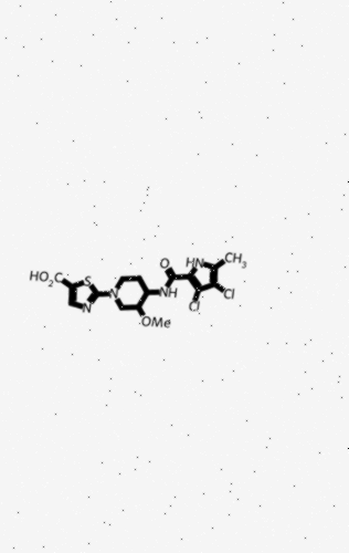 COC1CN(c2ncc(C(=O)O)s2)CCC1NC(=O)c1[nH]c(C)c(Cl)c1Cl